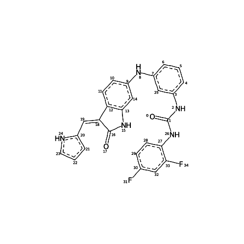 O=C(Nc1cccc(Nc2ccc3c(c2)NC(=O)C3=Cc2ccc[nH]2)c1)Nc1ccc(F)cc1F